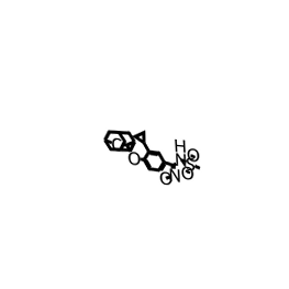 CS(=O)(=O)Nc1noc2cc(OC3CC4CC5CC(C4)CC3C5)c(C3CC3)cc12